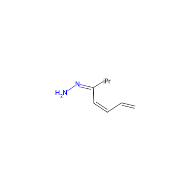 C=C/C=C\C(=N/N)C(C)C